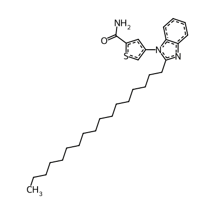 CCCCCCCCCCCCCCCCCc1nc2ccccc2n1-c1csc(C(N)=O)c1